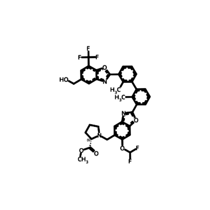 COC(=O)[C@@H]1CCCN1Cc1cc2nc(-c3cccc(-c4cccc(-c5nc6cc(CO)cc(C(F)(F)F)c6o5)c4C)c3C)oc2cc1OC(F)F